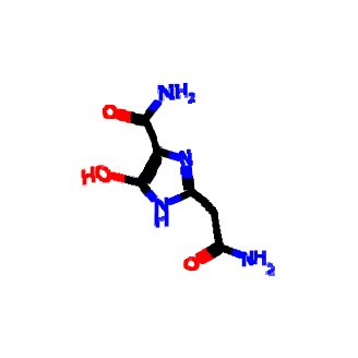 NC(=O)Cc1nc(C(N)=O)c(O)[nH]1